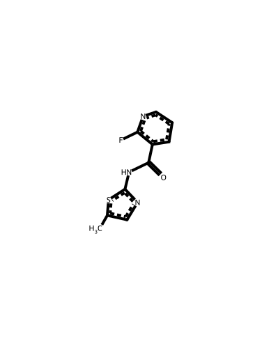 Cc1cnc(NC(=O)c2cccnc2F)s1